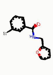 CCc1cccc(C(=O)NCc2ccco2)c1